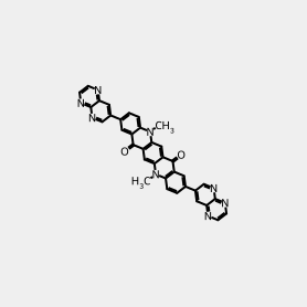 Cn1c2ccc(-c3cnc4nccnc4c3)cc2c(=O)c2cc3c(cc21)c(=O)c1cc(-c2cnc4nccnc4c2)ccc1n3C